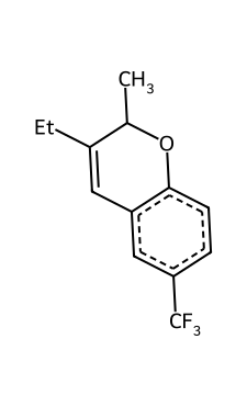 CCC1=Cc2cc(C(F)(F)F)ccc2OC1C